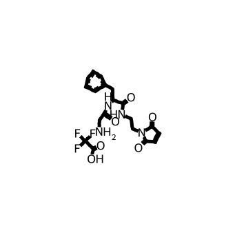 NCC(=O)NC(Cc1ccccc1)C(=O)NCCN1C(=O)C=CC1=O.O=C(O)C(F)(F)F